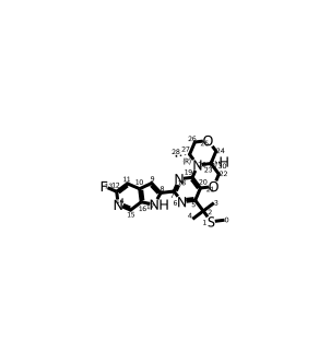 CSC(C)(C)c1nc(-c2cc3cc(F)ncc3[nH]2)nc2c1OC[C@@H]1COC[C@@H](C)N21